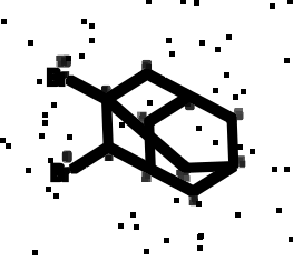 BrC1C2CC3CC(C2)CC1(Br)C3